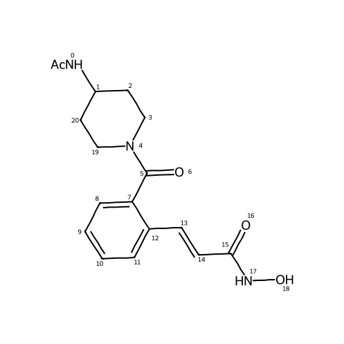 CC(=O)NC1CCN(C(=O)c2ccccc2/C=C/C(=O)NO)CC1